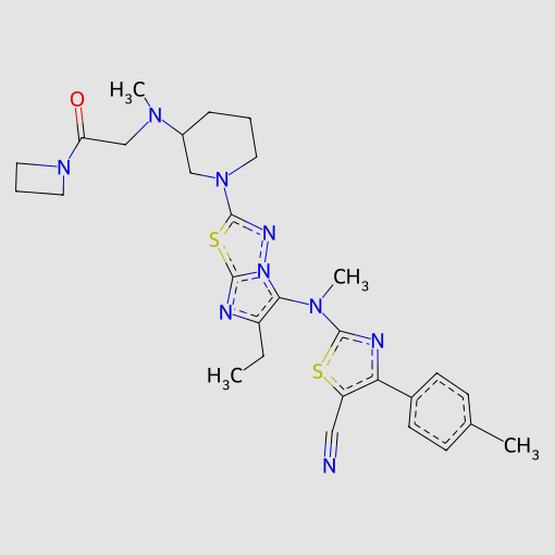 CCc1nc2sc(N3CCCC(N(C)CC(=O)N4CCC4)C3)nn2c1N(C)c1nc(-c2ccc(C)cc2)c(C#N)s1